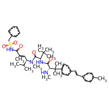 CN[C@H](C(=O)N[C@H](C(=O)N(C)[C@H](/C=C(\C)C(=O)NS(=O)(=O)Cc1ccccc1)C(C)C)C(C)(C)C)C(C)(C)c1ccc(C=Cc2ccc(C)cc2)cc1